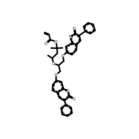 C=CC(=O)OC(C)(C)CC(C)OC(COc1ccc2cc(-c3ccccc3)c(=O)sc2c1)COc1ccc2cc(-c3ccccc3)c(=O)sc2c1